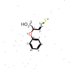 O=C(O)C(C=C=S)Oc1ccccc1